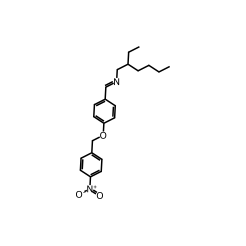 CCCCC(CC)CN=Cc1ccc(OCc2ccc([N+](=O)[O-])cc2)cc1